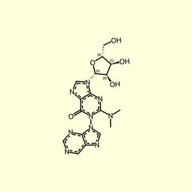 CN(C)c1nc2c(ncn2[C@@H]2O[C@H](CO)[C@@H](O)[C@H]2O)c(=O)n1-n1cnc2cncnc21